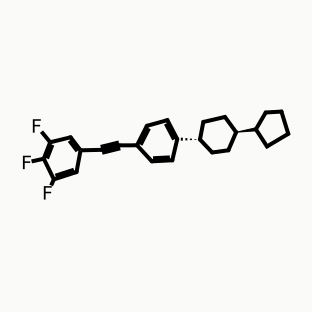 Fc1cc(C#Cc2ccc([C@H]3CC[C@H](C4CCCC4)CC3)cc2)cc(F)c1F